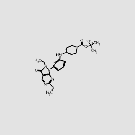 CCn1c(=O)c2cnc(SC)nc2n1-c1cccc(NC2CCN(C(=O)OC(C)(C)C)CC2)n1